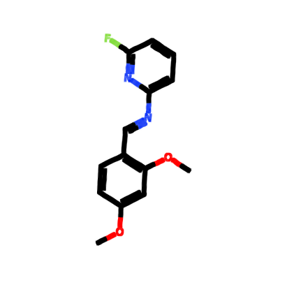 COc1ccc(C=Nc2cccc(F)n2)c(OC)c1